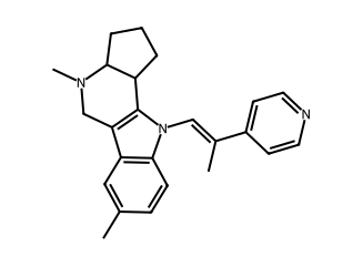 C/C(=C\n1c2c(c3cc(C)ccc31)CN(C)C1CCCC21)c1ccncc1